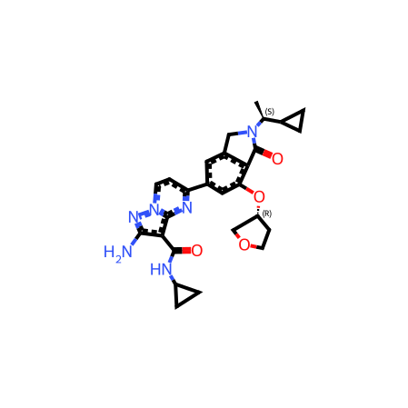 C[C@@H](C1CC1)N1Cc2cc(-c3ccn4nc(N)c(C(=O)NC5CC5)c4n3)cc(O[C@@H]3CCOC3)c2C1=O